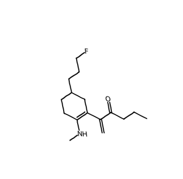 C=C(C(=O)CCC)C1=C(NC)CCC(CCCF)C1